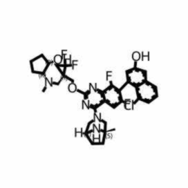 CN(C[C@@]1(COc2nc(N3C[C@H]4CC[C@@](C)(C3)N4)c3cc(F)c(-c4cc(O)cc5cccc(Cl)c45)c(F)c3n2)CC1(F)F)[C@@H]1CCC[C@H]1O